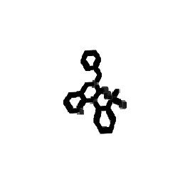 CS(=O)(=O)c1ccccc1N1C(=O)N(Cc2ccccc2)Cc2cccnc21